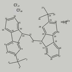 CC(C)(C)c1ccc2c(c1)C(CCC1c3ccccc3-c3ccc(C(C)(C)C)cc31)c1ccccc1-2.[Cl-].[Cl-].[Hf+2]